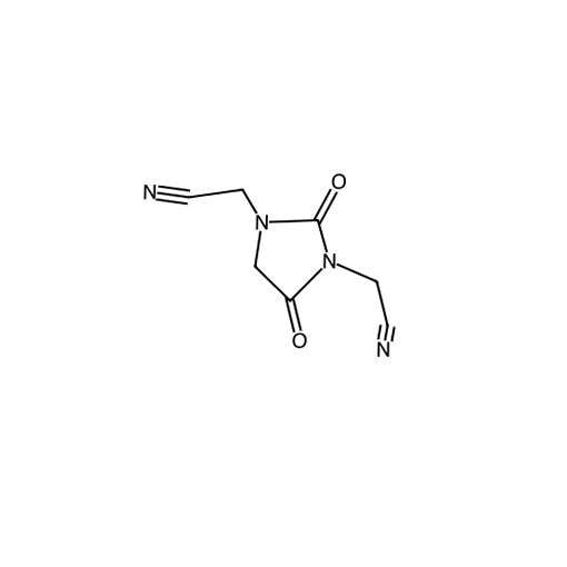 N#CCN1CC(=O)N(CC#N)C1=O